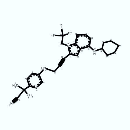 CC(C)(C#N)c1ccc(NCC#Cc2cc3c(NC4CCCCC4)cccc3n2CC(F)(F)F)cn1